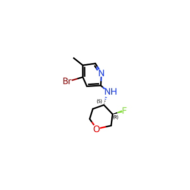 Cc1cnc(N[C@H]2CCOC[C@@H]2F)cc1Br